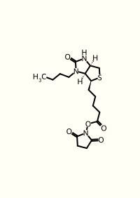 CCCCN1C(=O)N[C@H]2CS[C@@H](CCCCC(=O)ON3C(=O)CCC3=O)[C@H]21